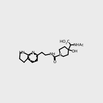 CC(=O)NC(C(=O)O)C1(O)CCN(C(=O)NCCc2ccc3c(n2)NCCC3)CC1